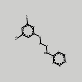 Clc1cc(Cl)cc(OCCNc2ccccc2)c1